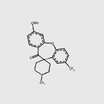 COc1ccc2c(c1)Oc1ccc(C(F)(F)F)cc1C1(CCN(C)CC1)C2=O